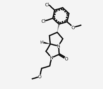 COCCN1C[C@@H]2C[C@H](c3c(OC)ccc(Cl)c3Cl)CN2C1=O